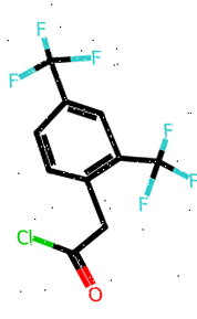 O=C(Cl)Cc1ccc(C(F)(F)F)cc1C(F)(F)F